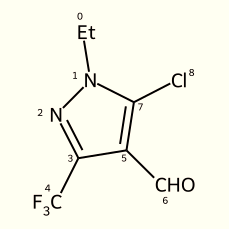 CCn1nc(C(F)(F)F)c(C=O)c1Cl